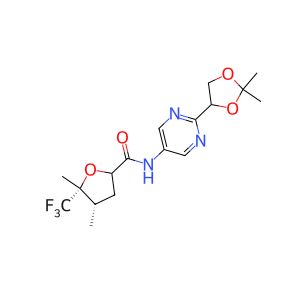 C[C@H]1CC(C(=O)Nc2cnc(C3COC(C)(C)O3)nc2)O[C@@]1(C)C(F)(F)F